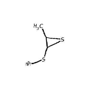 CCCSC1SC1C